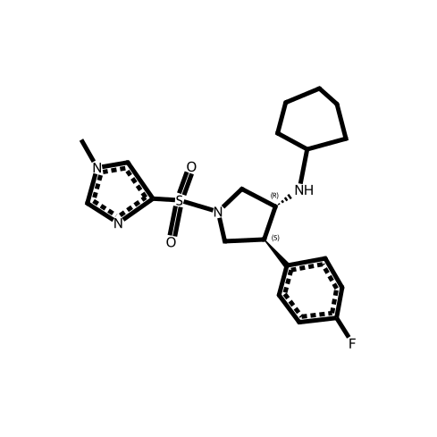 Cn1cnc(S(=O)(=O)N2C[C@H](NC3CCCCC3)[C@@H](c3ccc(F)cc3)C2)c1